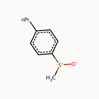 [CH2]CCc1ccc([S+](C)[O-])cc1